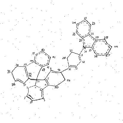 C1=CCC2C(=C1)C1=C(C=C(C3=CC=C(n4c5ccccc5c5ccccc54)CC3)CC1)C21C2=C(CCC=C2)c2ccccc21